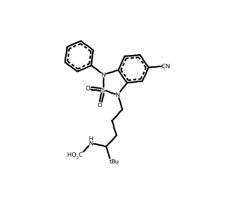 CC(C)(C)C(CCCN1c2cc(C#N)ccc2N(c2ccccc2)S1(=O)=O)NC(=O)O